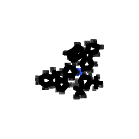 CC(C)(C)c1cc(N(c2cccc(-c3cccc4c3C(C)(C)c3ccccc3-4)c2)c2ccc3c(c2)C2(c4ccccc4-3)C3CC4CC(C3)CC2C4)cc(C(C)(C)C)c1